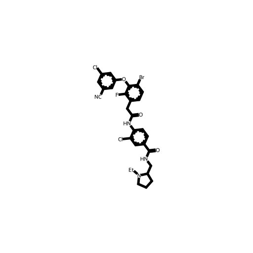 CCN1CCCC1CNC(=O)c1ccc(NC(=O)Cc2ccc(Br)c(Oc3cc(Cl)cc(C#N)c3)c2F)c(Cl)c1